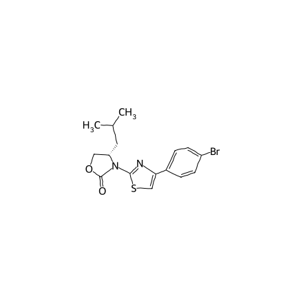 CC(C)C[C@H]1COC(=O)N1c1nc(-c2ccc(Br)cc2)cs1